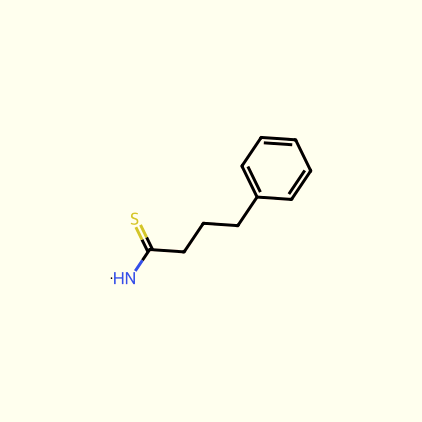 [NH]C(=S)CCCc1ccccc1